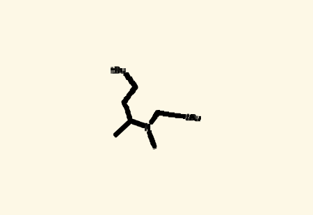 CC(CCC(C)(C)C)N(C)CC(C)(C)C